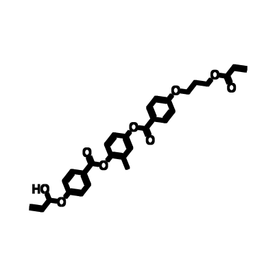 C=CC(=O)OCCCOc1ccc(C(=O)Oc2ccc(OC(=O)c3ccc(OC(O)C=C)cc3)c(C)c2)cc1